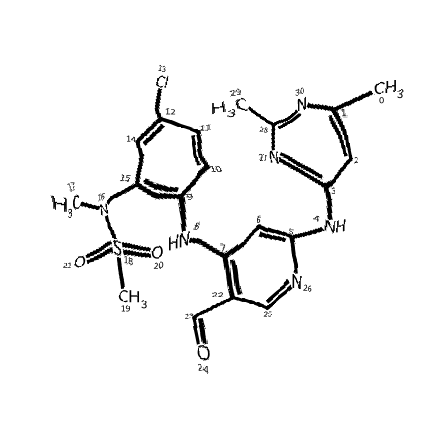 Cc1cc(Nc2cc(Nc3ccc(Cl)cc3N(C)S(C)(=O)=O)c(C=O)cn2)nc(C)n1